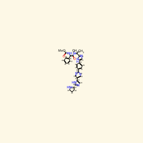 COC(=O)N[C@@H](C(=O)N(C)[C@@H](C)c1ncc(-c2ccc(-c3ncc(-c4cnc([C@@H]5CCCN5)[nH]4)cn3)cc2)[nH]1)c1ccccc1